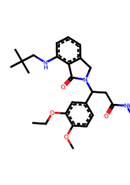 CCOc1cc(C(CC(=O)NC)N2Cc3cccc(NCC(C)(C)C)c3C2=O)ccc1OC